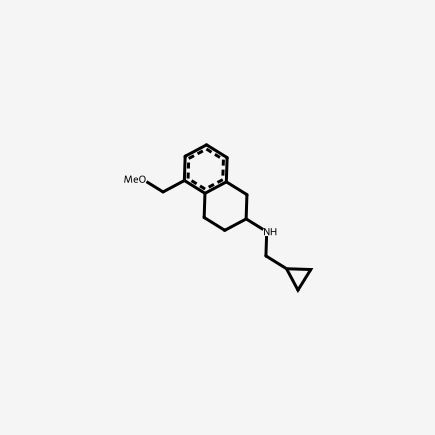 COCc1cccc2c1CCC(NCC1CC1)C2